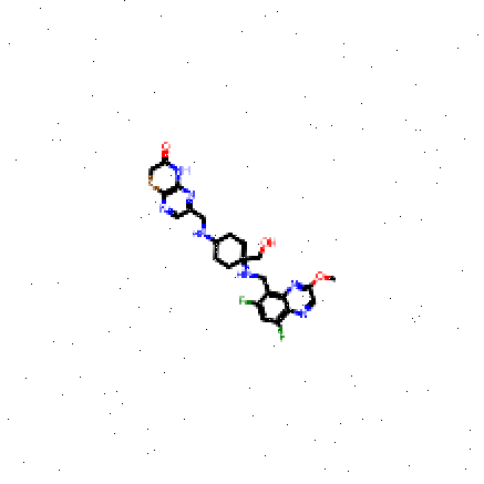 COc1cnc2c(F)cc(F)c(CNC3(CO)CCC(NCc4cnc5c(n4)NC(=O)CS5)CC3)c2n1